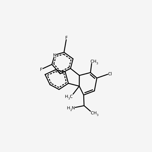 CC1=C(Cl)C=C(C(C)N)C(C)(c2ccccc2)C1c1cc(F)nc(F)c1